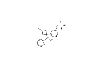 O=C1CC(c2cccc(OC(F)(F)F)c2)([C@H](O)c2ccccn2)C1